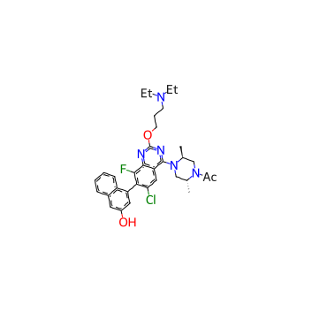 CCN(CC)CCCOc1nc(N2C[C@@H](C)N(C(C)=O)C[C@@H]2C)c2cc(Cl)c(-c3cc(O)cc4ccccc34)c(F)c2n1